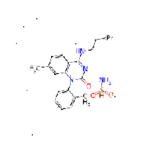 Cc1ccccc1-n1c(=O)nc(NCCC(C)C)c2ccc(C(F)(F)F)cc21.N[SH](=O)=O